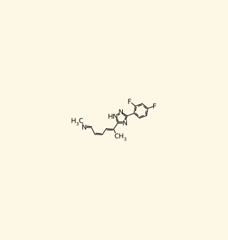 C/N=C/C=C\C=C(/C)c1nc(-c2ccc(F)cc2F)n[nH]1